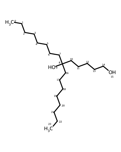 CCCCCCCCC(O)(CCCCCO)CCCCCCCC